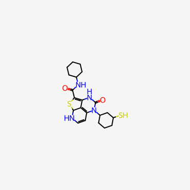 O=C(NC1CCCCC1)C1=C2NC(=O)N(C3CCCC(S)C3)C3=C2C(NC=C3)S1